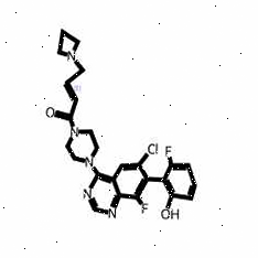 O=C(/C=C/CN1CCC1)N1CCN(c2ncnc3c(F)c(-c4c(O)cccc4F)c(Cl)cc23)CC1